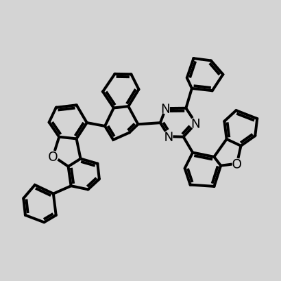 c1ccc(-c2nc(-c3ccc(-c4cccc5oc6c(-c7ccccc7)cccc6c45)c4ccccc34)nc(-c3cccc4oc5ccccc5c34)n2)cc1